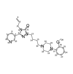 C=CCn1c(-c2cccnc2)nn(CCCCN2CCN(c3ccccc3OC)CC2)c1=O